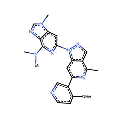 CCN(C)c1nc(-n2ncc3c(C)nc(-c4cnccc4OC)cc32)cc2c1ncn2C